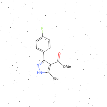 COC(=O)c1c(-c2ccc(F)cc2)n[nH]c1C(C)(C)C